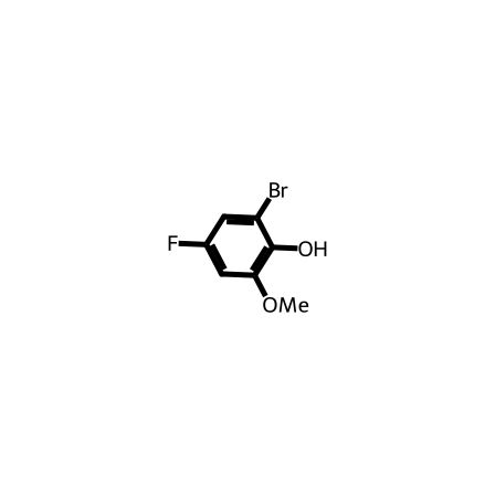 COc1cc(F)cc(Br)c1O